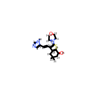 Cn1cncc1C#Cc1c(N2CCOCC2)sc2c1CC(C)(C)CC2=O